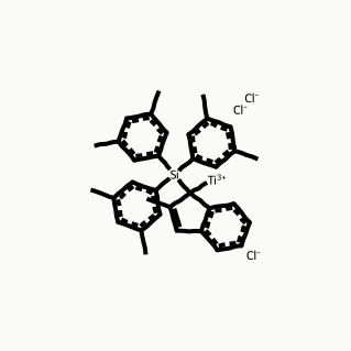 CC1=Cc2ccccc2[C]1([Ti+3])[Si](c1cc(C)cc(C)c1)(c1cc(C)cc(C)c1)c1cc(C)cc(C)c1.[Cl-].[Cl-].[Cl-]